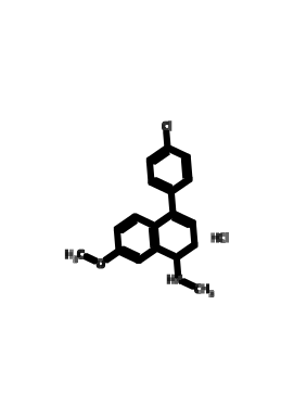 CNC1CC=C(c2ccc(Cl)cc2)c2ccc(OC)cc21.Cl